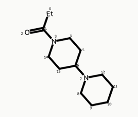 CCC(=O)N1CCC(N2CCCCC2)CC1